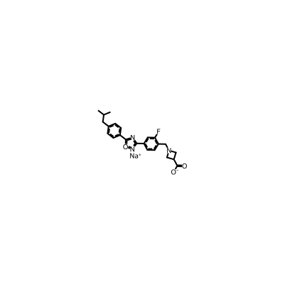 CC(C)Cc1ccc(-c2nc(-c3ccc(CN4CC(C(=O)[O-])C4)c(F)c3)no2)cc1.[Na+]